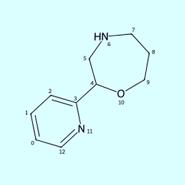 c1ccc(C2CNCCCO2)nc1